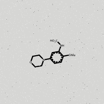 COc1ccc(N2CCOCC2)cc1NC(=O)O